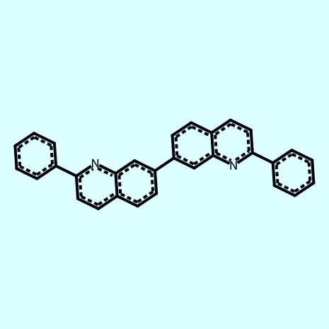 c1ccc(-c2ccc3ccc(-c4ccc5ccc(-c6ccccc6)nc5c4)cc3n2)cc1